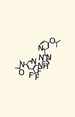 CC(=O)N(C)c1cnc(Nc2nc(-c3cc(OC(C)C)ccn3)ns2)c(C(F)(F)F)c1